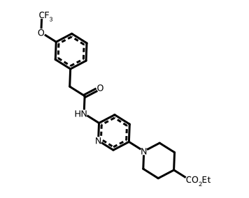 CCOC(=O)C1CCN(c2ccc(NC(=O)Cc3cccc(OC(F)(F)F)c3)nc2)CC1